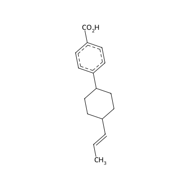 CC=CC1CCC(c2ccc(C(=O)O)cc2)CC1